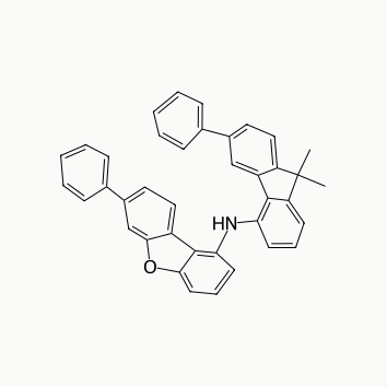 CC1(C)c2ccc(-c3ccccc3)cc2-c2c(Nc3cccc4oc5cc(-c6ccccc6)ccc5c34)cccc21